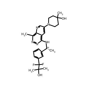 Cc1nnc(N[C@H](C)c2cccc(C(F)(F)C(C)(C)O)c2)c2cc(N3CCC(C)(O)CC3)cnc12